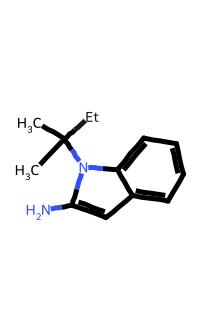 CCC(C)(C)n1c(N)cc2ccccc21